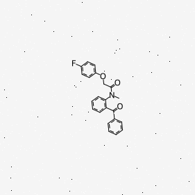 CN(C(=O)COc1ccc(F)cc1)c1ccccc1C(=O)c1ccccc1